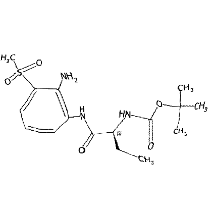 CC[C@H](NC(=O)OC(C)(C)C)C(=O)Nc1cccc(S(C)(=O)=O)c1N